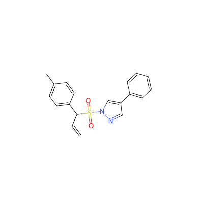 C=CC(c1ccc(C)cc1)S(=O)(=O)n1cc(-c2ccccc2)cn1